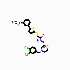 O=C(CSc1ccc(-c2cccc(C(=O)O)c2)s1)NC[C@H]1CN(Cc2ccc(Cl)c(Cl)c2)CCO1